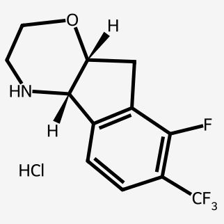 Cl.Fc1c(C(F)(F)F)ccc2c1C[C@H]1OCCN[C@@H]21